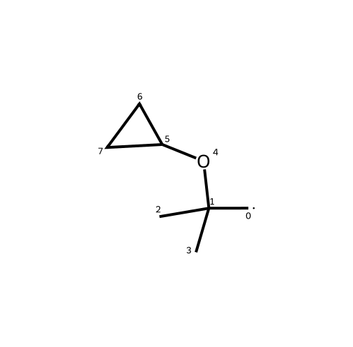 [CH2]C(C)(C)OC1CC1